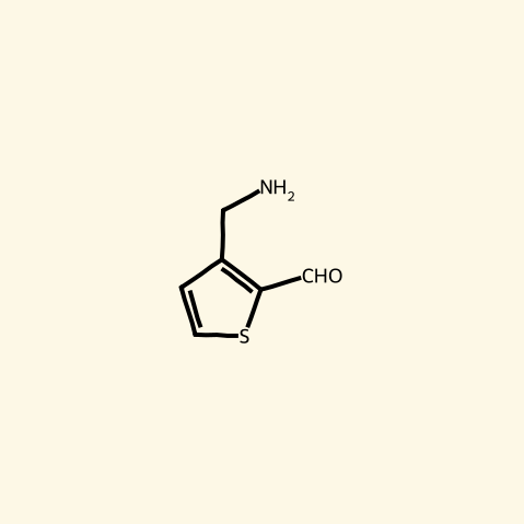 NCc1ccsc1C=O